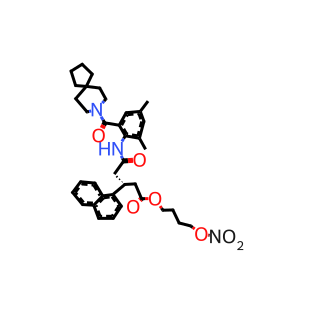 Cc1cc(C)c(NC(=O)C[C@H](CC(=O)OCCCCO[N+](=O)[O-])c2cccc3ccccc23)c(C(=O)N2CCC3(CCCC3)CC2)c1